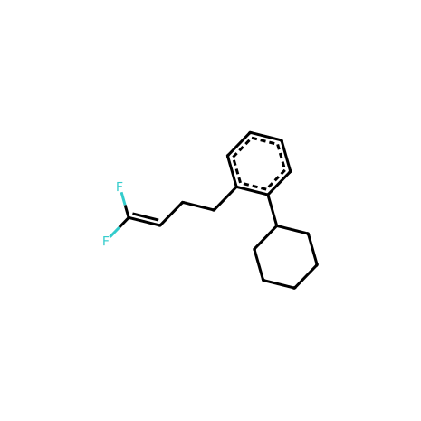 FC(F)=CCCc1ccccc1C1CCCCC1